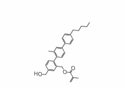 C=C(C)C(=O)OCc1cc(CO)ccc1-c1ccc(-c2ccc(CCCCC)cc2)cc1C